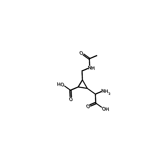 CC(=O)NCC1C(C(=O)O)C1C(N)C(=O)O